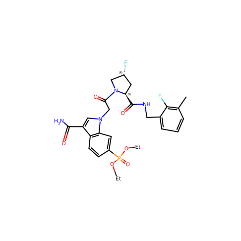 CCOP(=O)(OCC)c1ccc2c(C(N)=O)cn(CC(=O)N3C[C@H](F)C[C@H]3C(=O)NCc3cccc(C)c3F)c2c1